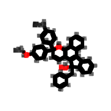 CCCCOc1ccc(C2(c3ccc(OC)cc3)C=Cc3c4c(c5ccccc5c3O2)-c2ccccc2C4(O)Cc2ccccc2)cc1